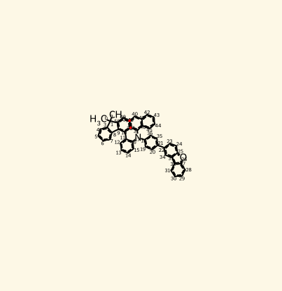 CC1(C)c2ccccc2-c2c(-c3ccccc3N(c3ccc(-c4ccc5oc6ccccc6c5c4)cc3)c3cccc4ccccc34)cccc21